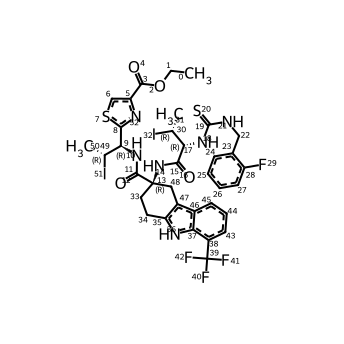 CCOC(=O)c1csc([C@@H](NC(=O)[C@@]2(NC(=O)[C@@H](NC(=S)NCc3ccccc3F)[C@@H](C)I)CCc3[nH]c4c(C(F)(F)F)cccc4c3C2)[C@@H](C)I)n1